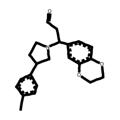 Cc1ccc(C2CCN(C(CC=O)c3ccc4c(c3)OCCO4)C2)cc1